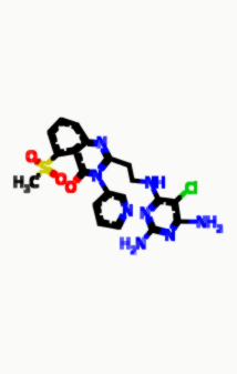 CS(=O)(=O)c1cccc2nc(CCNc3nc(N)nc(N)c3Cl)n(-c3cccnc3)c(=O)c12